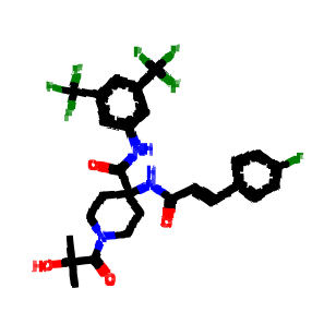 CC(C)(O)C(=O)N1CCC(NC(=O)C=Cc2ccc(F)cc2)(C(=O)Nc2cc(C(F)(F)F)cc(C(F)(F)F)c2)CC1